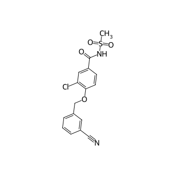 CS(=O)(=O)NC(=O)c1ccc(OCc2cccc(C#N)c2)c(Cl)c1